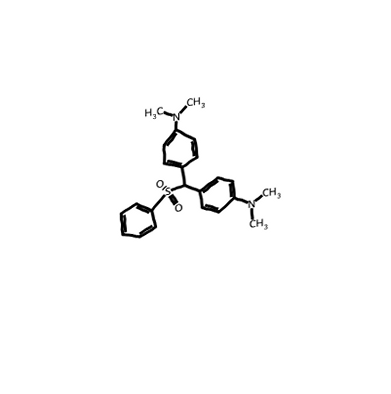 CN(C)c1ccc(C(c2ccc(N(C)C)cc2)S(=O)(=O)c2ccccc2)cc1